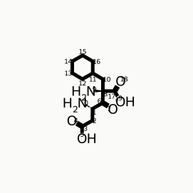 N[C@@H](CC(=O)O)C(=O)[C@](N)(CC1CCCCC1)C(=O)O